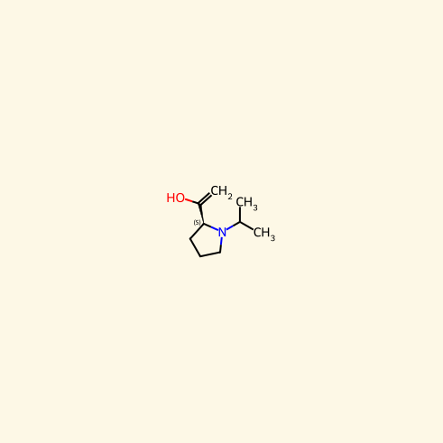 C=C(O)[C@@H]1CCCN1C(C)C